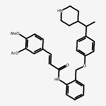 COc1ccc(C=CC(=O)Nc2ccccc2COc2ccc(C(C)C3CCNCC3)cc2)cc1OC(C)=O